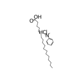 CCCCCCCCCCCCCCCCCC(=O)O.CN(C)c1ccccc1.Cl